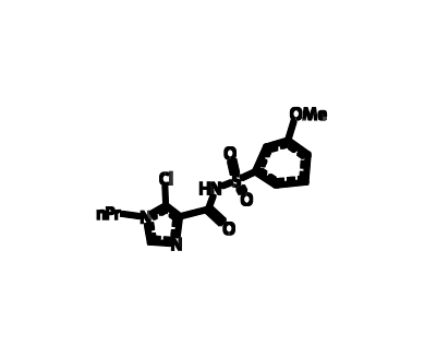 CCCn1cnc(C(=O)NS(=O)(=O)c2cccc(OC)c2)c1Cl